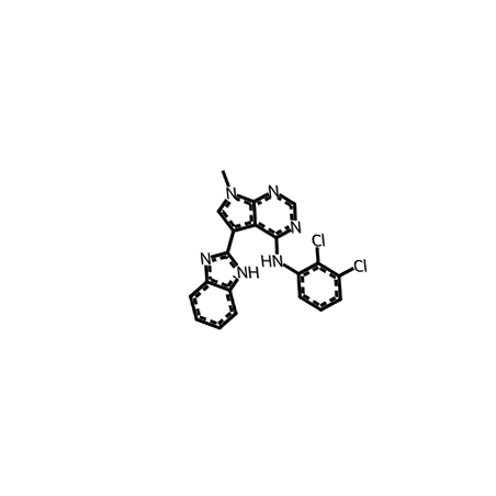 Cn1cc(-c2nc3ccccc3[nH]2)c2c(Nc3cccc(Cl)c3Cl)ncnc21